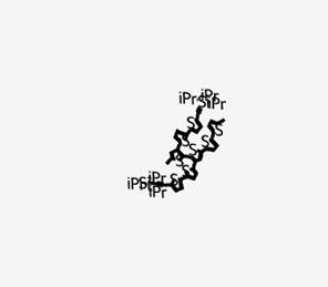 Cc1ccc(-c2ccc(-c3cc(-c4ccc(-c5ccc(C#C[Si](C(C)C)(C(C)C)C(C)C)s5)s4)c(-c4sc(C)cc4-c4ccc(-c5ccc(C#C[Si](C(C)C)(C(C)C)C(C)C)s5)s4)s3)s2)s1